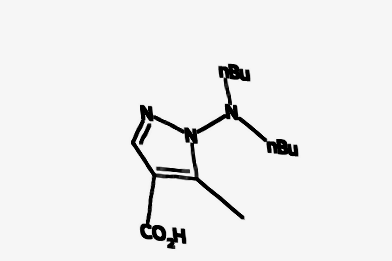 CCCCN(CCCC)n1ncc(C(=O)O)c1C